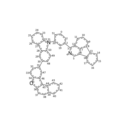 c1cc(-c2ncc3c4c(cccc24)-c2ccccc2-3)cc(-n2c3ccccc3c3cc(-c4ccc5oc6ccc7ccccc7c6c5c4)ccc32)c1